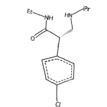 CCNC(=O)[C@H](CNC(C)C)c1ccc(Cl)cc1